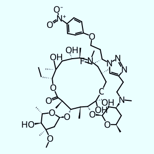 CC[C@H]1OC(=O)[C@H](C)[C@@H](O[C@H]2C[C@@](C)(OC)[C@@H](O)[C@H](C)O2)[C@H](C)[C@@H](O[C@@H]2O[C@H](C)C[C@H](N(C)CCc3cn([C@H](CF)CCOc4ccc([N+](=O)[O-])cc4)nn3)[C@H]2O)[C@](C)(O)CC[C@@H](C)CN(C)[C@H](C)[C@@H](O)C[C@]1(C)O